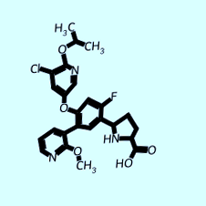 COc1ncccc1-c1cc(C2CCC(C(=O)O)N2)c(F)cc1Oc1cnc(OC(C)C)c(Cl)c1